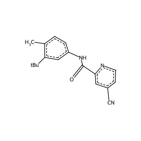 Cc1ccc(NC(=O)c2cc(C#N)ccn2)cc1C(C)(C)C